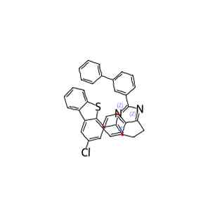 Clc1cc(C2=C/CC/C(c3ccccc3)=N/C(c3cccc(-c4ccccc4)c3)=N\2)c2sc3ccccc3c2c1